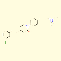 CCN(CC)CCOc1ccc(-n2ccc(COc3cccc(F)c3)cc2=O)cc1